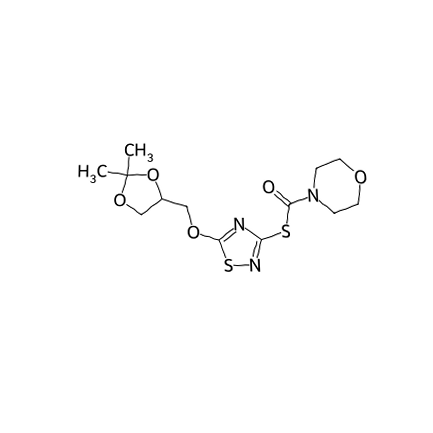 CC1(C)OCC(COc2nc(SC(=O)N3CCOCC3)ns2)O1